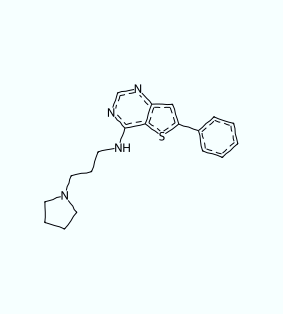 c1ccc(-c2cc3ncnc(NCCCN4CCCC4)c3s2)cc1